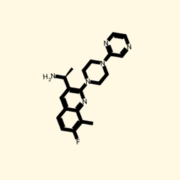 Cc1c(F)ccc2cc([C@H](C)N)c(N3CCN(c4cnccn4)CC3)nc12